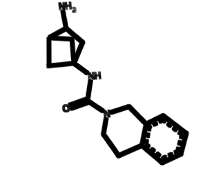 NC1CC2(NC(=O)N3CCc4ccccc4C3)CC1C2